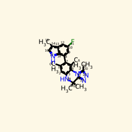 Cc1cc2c(c(C)c1-c1cc(F)cc3c(C)c[nH]c13)-n1c(C)nnc1C(C)(C)N2